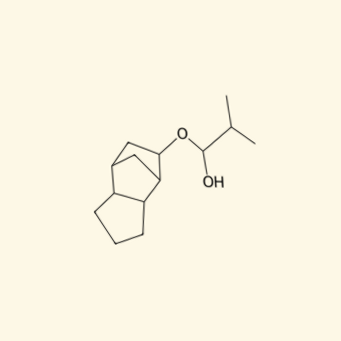 CC(C)C(O)OC1CC2CC1C1CCCC21